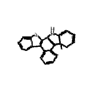 CC12CC=CC=C1Nc1c2c2ccccc2c2c1sc1ccccc12